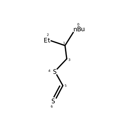 CCCCC(CC)CSC=S